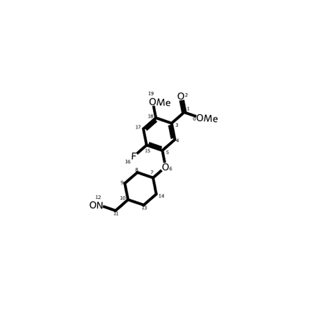 COC(=O)c1cc(OC2CCC(CN=O)CC2)c(F)cc1OC